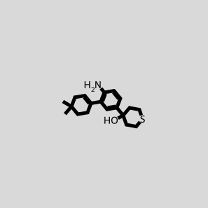 CC1(C)CC=C(c2cc(C3(O)CCSCC3)ccc2N)CC1